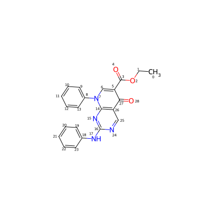 CCOC(=O)c1cn(-c2ccccc2)c2nc(Nc3ccccc3)ncc2c1=O